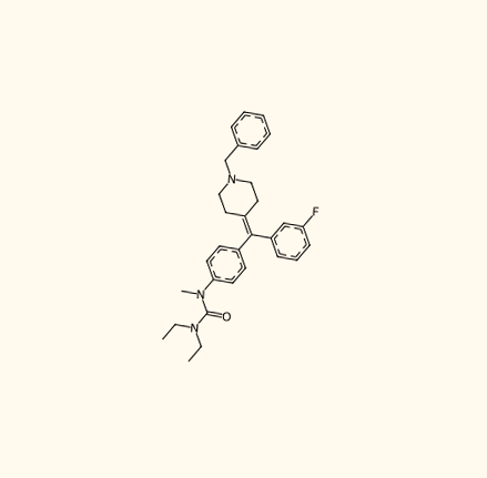 CCN(CC)C(=O)N(C)c1ccc(C(=C2CCN(Cc3ccccc3)CC2)c2cccc(F)c2)cc1